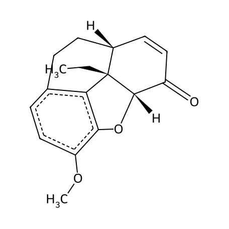 CC[C@]12c3c4ccc(OC)c3O[C@H]1C(=O)C=C[C@H]2CC4